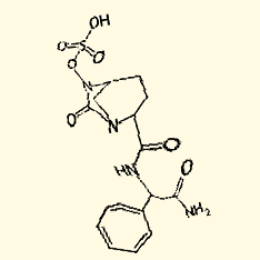 NC(=O)C(NC(=O)C1CCC2CN1C(=O)N2OS(=O)(=O)O)c1ccccc1